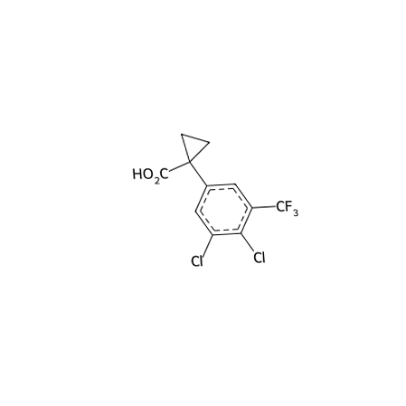 O=C(O)C1(c2cc(Cl)c(Cl)c(C(F)(F)F)c2)CC1